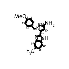 COc1ccc(Cn2nc(N)cc2-c2nc3cc(C(F)(F)F)ccc3[nH]2)cc1